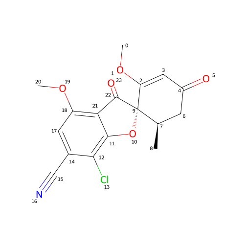 COC1=CC(=O)C[C@@H](C)[C@]12Oc1c(Cl)c(C#N)cc(OC)c1C2=O